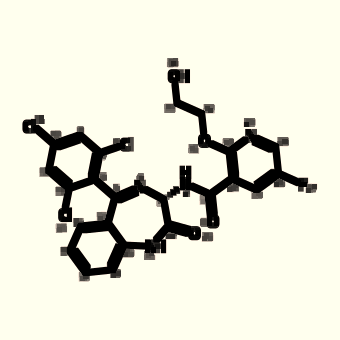 O=C(N[C@H]1N=C(c2c(Cl)cc(Cl)cc2Cl)c2ccccc2NC1=O)c1cc(F)cnc1OCCO